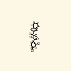 O=C(NS(=O)(=O)c1cc2ccccc2o1)c1ccc(Cl)cc1Cl